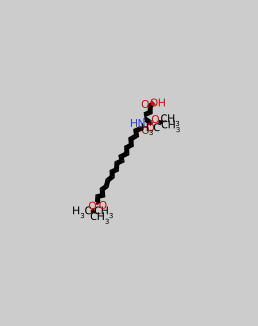 CC(C)(C)OC(=O)CCCCCCCCCCCCCCCCCC(=O)N[C@@H](CCC(=O)O)C(=O)OC(C)(C)C